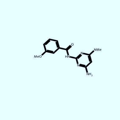 CNc1cc(N)nc(NC(=O)c2cccc(OC)c2)n1